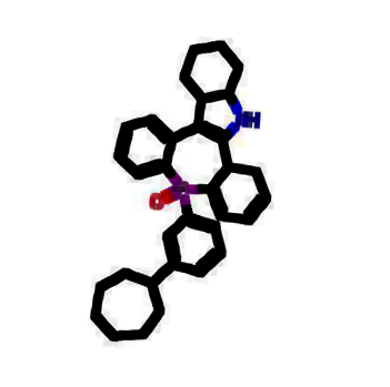 O=P1(c2cccc(C3CCCCCC3)c2)C2=CC=CCC2C2=C(c3ccccc31)C1CCCCC1N2